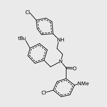 CNc1ccc(Cl)cc1C(=O)N(CCNc1ccc(Cl)cc1)Cc1ccc(C(C)(C)C)cc1